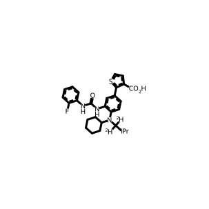 [2H]C([2H])(C(C)C)N(c1ccc(-c2sccc2C(=O)O)cc1NC(=O)Nc1ccccc1F)C1CCCCC1